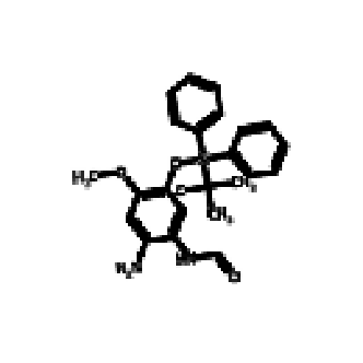 COc1cc(N)c(NC=O)cc1O[Si](c1ccccc1)(c1ccccc1)C(C)(C)C